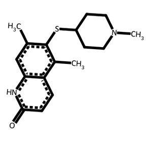 Cc1cc2[nH]c(=O)ccc2c(C)c1SC1CCN(C)CC1